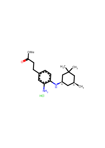 COC(=O)CCc1ccc(N[C@@H]2C[C@H](C)CC(C)(C)C2)c(N)c1.Cl